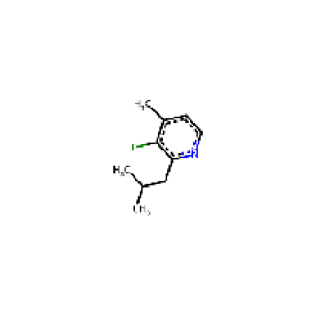 Cc1ccnc(CC(C)C)c1F